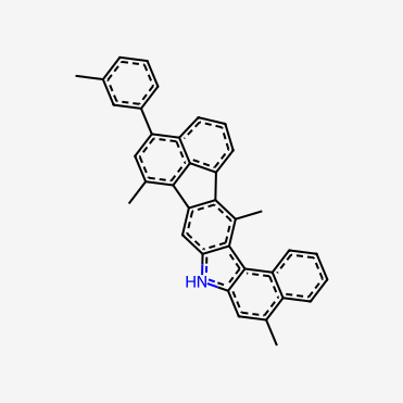 Cc1cccc(-c2cc(C)c3c4c(cccc24)-c2c-3cc3[nH]c4cc(C)c5ccccc5c4c3c2C)c1